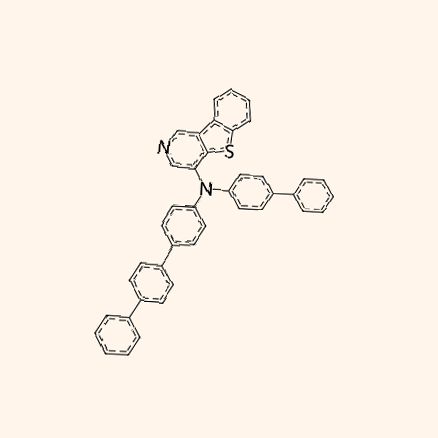 c1ccc(-c2ccc(-c3ccc(N(c4ccc(-c5ccccc5)cc4)c4cncc5c4sc4ccccc45)cc3)cc2)cc1